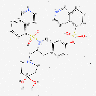 CN(C(Cc1ccc(OS(=O)(=O)c2cccc3cnccc23)cc1)CN1CCC2(CC1)OCCO2)S(=O)(=O)c1cccc2cnccc12